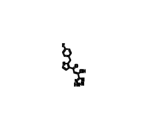 O=C(C=C(O)c1nn[nH]n1)c1ccsc1Cc1ccc(F)cc1